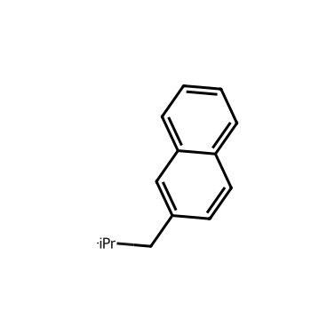 C[C](C)Cc1ccc2ccccc2c1